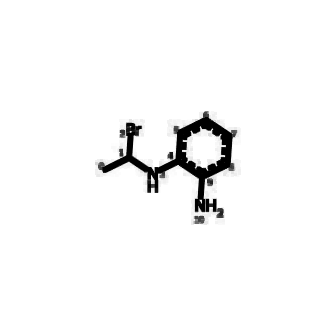 CC(Br)Nc1ccccc1N